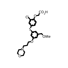 COCc1cc(OCCCN2CCOCC2)cc(Sc2ccc(OCC(=O)O)c(Cl)c2)c1